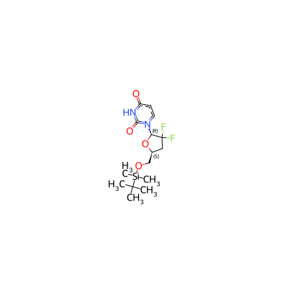 CC(C)(C)[Si](C)(C)OC[C@@H]1CC(F)(F)[C@H](n2ccc(=O)[nH]c2=O)O1